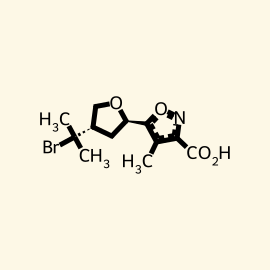 Cc1c(C(=O)O)noc1[C@H]1C[C@H](C(C)(C)Br)CO1